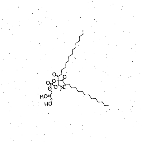 CCCCCCCCCCCCCCC(=O)C(C[N+](C)(C)C)(OP(=O)([O-])OC[C@H](O)CO)C(=O)CCCCCCCCCCCCCC